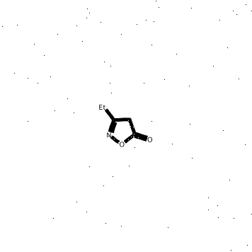 CCC1=NOC(=O)C1